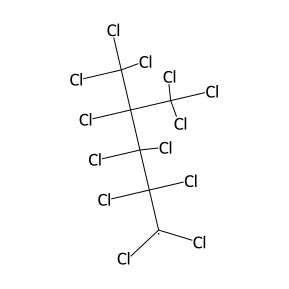 Cl[C](Cl)C(Cl)(Cl)C(Cl)(Cl)C(Cl)(C(Cl)(Cl)Cl)C(Cl)(Cl)Cl